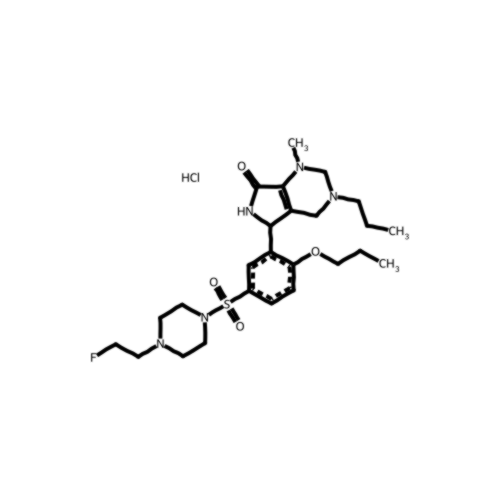 CCCOc1ccc(S(=O)(=O)N2CCN(CCF)CC2)cc1C1NC(=O)C2=C1CN(CCC)CN2C.Cl